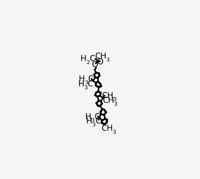 C=C(C)C(=O)OCCc1ccc2c(c1)C(C)(C)c1cc(-c3ccc4c(c3)C(C)(C)c3cc(-c5ccc6c(c5)C(C)(C)c5cc(C)ccc5-6)ccc3-4)ccc1-2